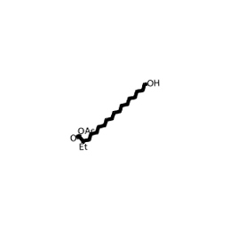 CCC(CCCCCCCCCCCCCCCCO)C(=O)OC(C)=O